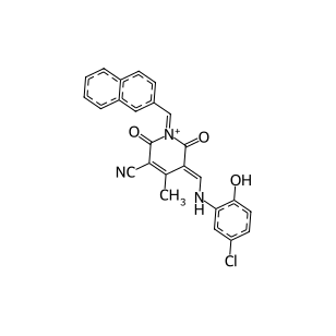 CC1=C(C#N)C(=O)[N+](=Cc2ccc3ccccc3c2)C(=O)C1=CNc1cc(Cl)ccc1O